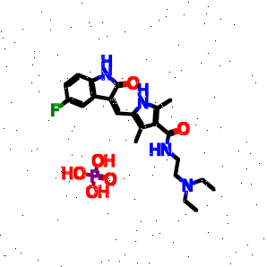 CCN(CC)CCNC(=O)c1c(C)[nH]c(C=C2C(=O)Nc3ccc(F)cc32)c1C.O=P(O)(O)O